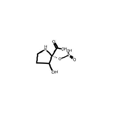 O=C(O)[C@]1(O[P](=O)O)NCCC1O